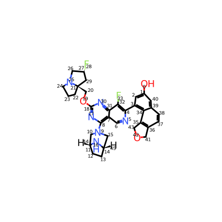 Oc1cc(-c2ncc3c(N4C[C@H]5CC[C@@H](C4)N5)nc(OC[C@@]45CCCN4C[C@H](F)C5)nc3c2F)c2c3c(ccc2c1)COC3